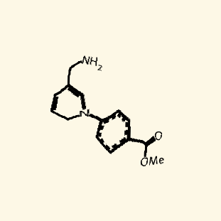 COC(=O)c1ccc(N2C=C(CN)C=CC2)cc1